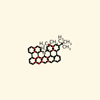 CC(C)(C)c1cc(-c2cccc3cccc(-c4ccccc4N(c4ccccc4-c4cccc5cccc(-c6ccccc6)c45)c4cccc5ccccc45)c23)cc(C(C)(C)C)c1